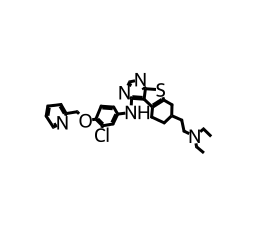 CCN(CC)CCC1CCc2c(sc3ncnc(Nc4ccc(OCc5ccccn5)c(Cl)c4)c23)C1